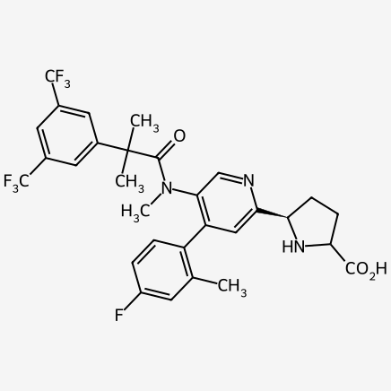 Cc1cc(F)ccc1-c1cc([C@H]2CCC(C(=O)O)N2)ncc1N(C)C(=O)C(C)(C)c1cc(C(F)(F)F)cc(C(F)(F)F)c1